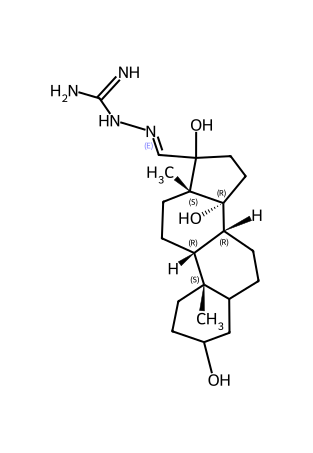 C[C@]12CCC(O)CC1CC[C@@H]1[C@H]2CC[C@]2(C)C(O)(/C=N/NC(=N)N)CC[C@@]12O